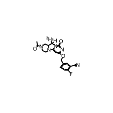 [2H]C1([2H])C2CN(C(C)=O)CCN2c2cc(OCc3ccc(F)c(C#N)c3)nc(=O)n21